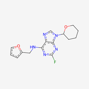 Fc1nc(NCc2ccco2)c2ncn(C3CCCCO3)c2n1